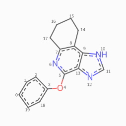 c1ccc(Oc2nc3c(c4[nH]cnc24)CCCC3)cc1